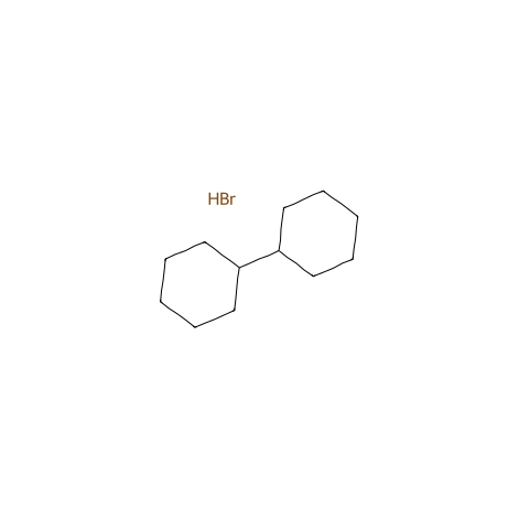 Br.C1CCC(C2CCCCC2)CC1